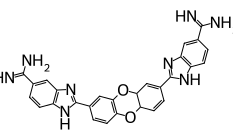 N=C(N)c1ccc2[nH]c(C3=CC4Oc5cc(-c6nc7cc(C(=N)N)ccc7[nH]6)ccc5OC4C=C3)nc2c1